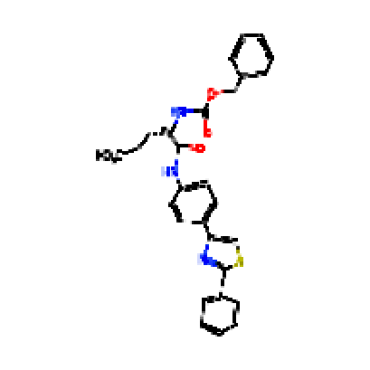 O=C(O)CC[C@H](NC(=O)OCc1ccccc1)C(=O)Nc1ccc(-c2csc(-c3ccccc3)n2)cc1